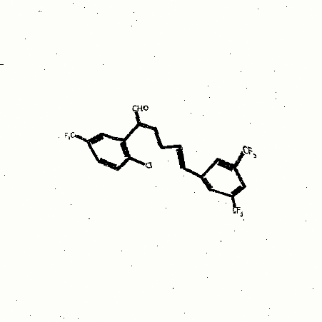 O=CC(CCC=Cc1cc(C(F)(F)F)cc(C(F)(F)F)c1)c1cc(C(F)(F)F)ccc1Cl